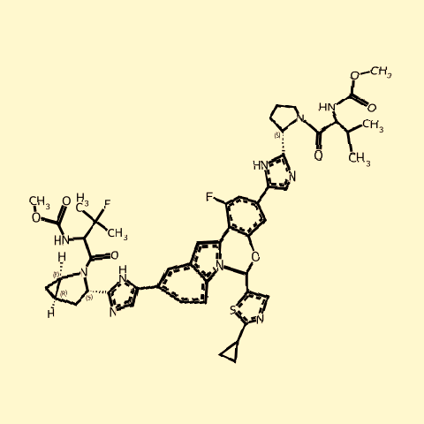 COC(=O)NC(C(=O)N1CCC[C@H]1c1ncc(-c2cc(F)c3c(c2)OC(c2cnc(C4CC4)s2)n2c-3cc3cc(-c4cnc([C@@H]5C[C@H]6C[C@H]6N5C(=O)C(NC(=O)OC)C(C)(C)F)[nH]4)ccc32)[nH]1)C(C)C